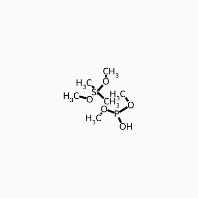 COP(O)OC.CO[Si](C)(C)OC